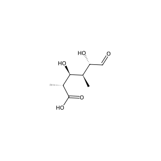 C[C@@H]([C@H](O)[C@@H](C)C(=O)O)[C@H](O)C=O